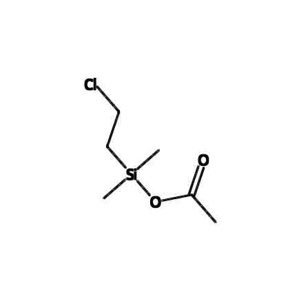 CC(=O)O[Si](C)(C)CCCl